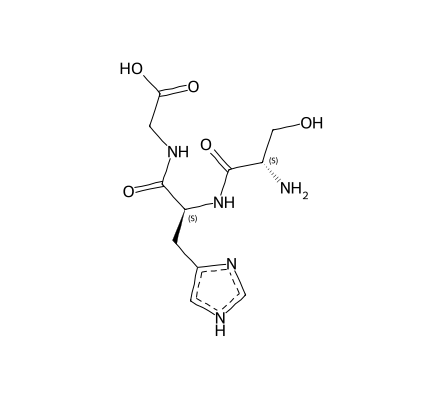 N[C@@H](CO)C(=O)N[C@@H](Cc1c[nH]cn1)C(=O)NCC(=O)O